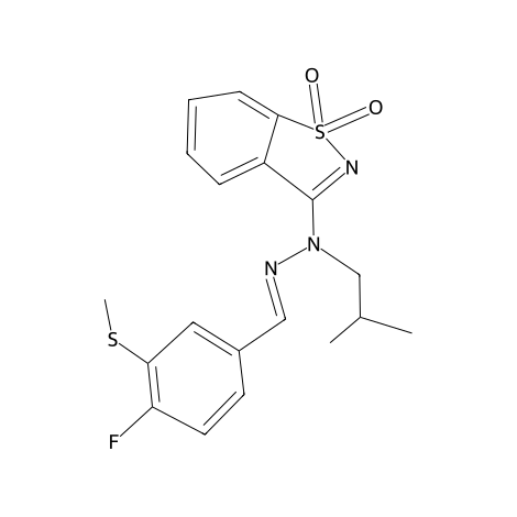 CSc1cc(/C=N/N(CC(C)C)C2=NS(=O)(=O)c3ccccc32)ccc1F